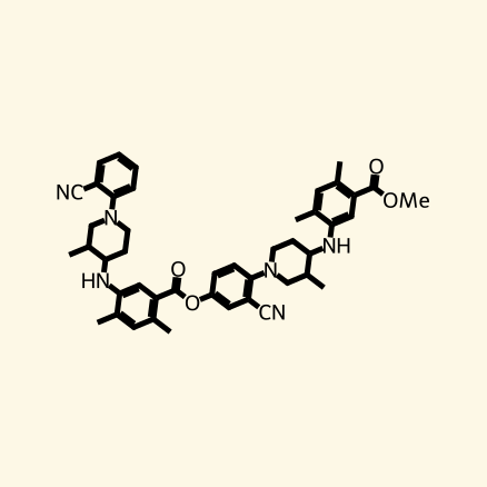 COC(=O)c1cc(NC2CCN(c3ccc(OC(=O)c4cc(NC5CCN(c6ccccc6C#N)CC5C)c(C)cc4C)cc3C#N)CC2C)c(C)cc1C